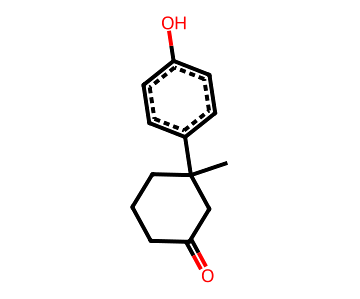 CC1(c2ccc(O)cc2)CCCC(=O)C1